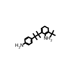 CC(C)(C)C1=C(N)C(C(C)(C)C(C)(C)c2ccc(N)cc2)=CCC1